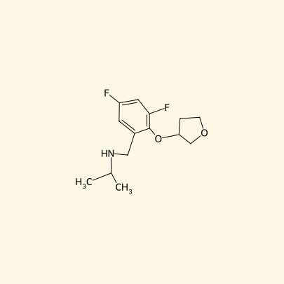 CC(C)NCc1cc(F)cc(F)c1OC1CCOC1